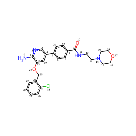 Nc1ncc(-c2ccc(C(=O)NCCN3CCOCC3)cc2)cc1OCc1ccccc1Cl